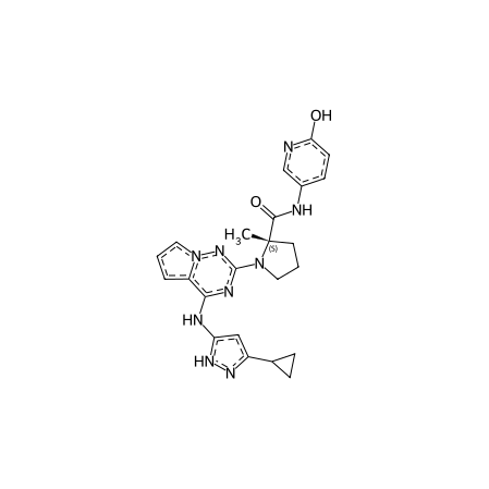 C[C@@]1(C(=O)Nc2ccc(O)nc2)CCCN1c1nc(Nc2cc(C3CC3)n[nH]2)c2cccn2n1